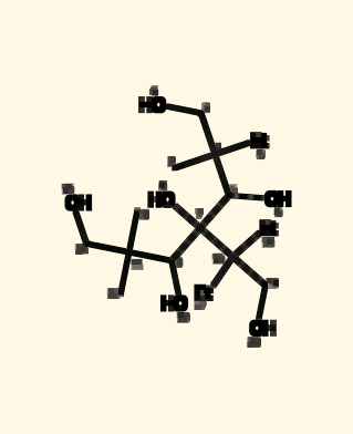 CCC(C)(CO)C(O)C(O)(C(O)C(C)(C)CO)C(CC)(CC)CO